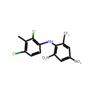 Cc1c(Cl)ccc(Nc2c([N+](=O)[O-])cc([N+](=O)[O-])cc2C(F)(F)F)c1Cl